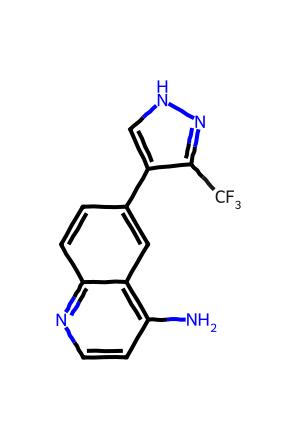 Nc1ccnc2ccc(-c3c[nH]nc3C(F)(F)F)cc12